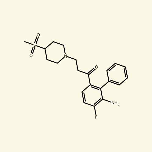 CS(=O)(=O)C1CCN(CCC(=O)c2ccc(F)c(N)c2-c2ccccc2)CC1